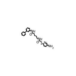 Nc1ccc(SCC(=O)NCCCCC(=O)Nc2cccc(-c3ccccc3)c2)nc1